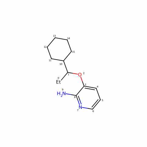 CCC(Oc1cccnc1N)C1CCCCC1